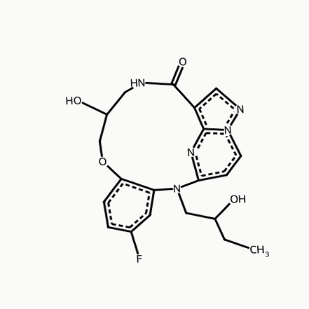 CCC(O)CN1c2ccn3ncc(c3n2)C(=O)NCC(O)COc2ccc(F)cc21